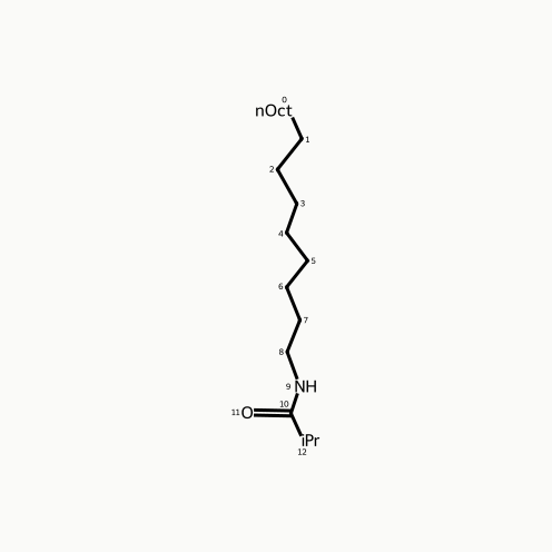 CCCCCCCCCCCCCCCCNC(=O)C(C)C